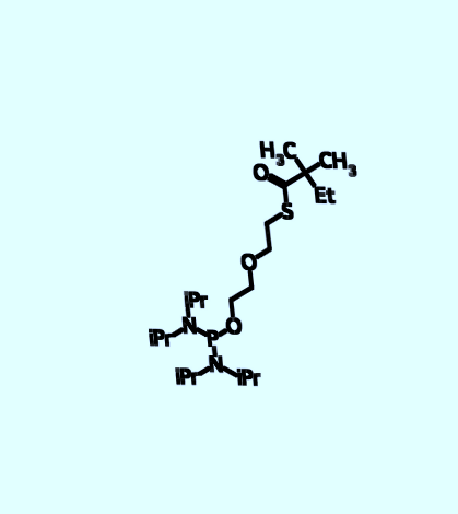 CCC(C)(C)C(=O)SCCOCCOP(N(C(C)C)C(C)C)N(C(C)C)C(C)C